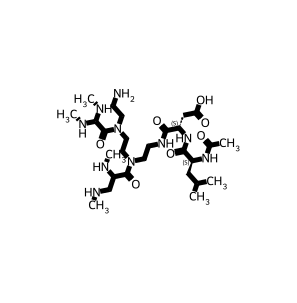 CNCC(NC)C(=O)N(CCNC(=O)[C@H](CC(=O)O)NC(=O)[C@H](CC(C)C)NC(C)=O)CCN(CCN)C(=O)C(NC)NC